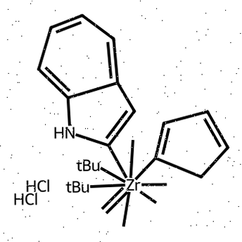 Cl.Cl.[CH2]=[Zr]([CH3])([CH3])([CH3])([CH3])([C]1=CC=CC1)([c]1cc2ccccc2[nH]1)([C](C)(C)C)[C](C)(C)C